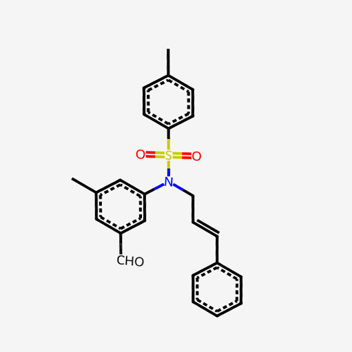 Cc1ccc(S(=O)(=O)N(CC=Cc2ccccc2)c2cc(C)cc(C=O)c2)cc1